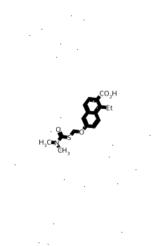 CCc1c(C(=O)O)ccc2cc(OCSC(=O)N(C)C)ccc12